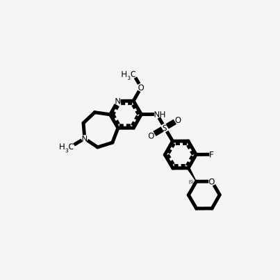 COc1nc2c(cc1NS(=O)(=O)c1ccc([C@@H]3CCCCO3)c(F)c1)CCN(C)CC2